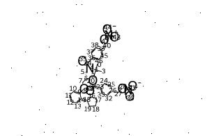 CC(C)(C)N(C[C@@H](COc1ccccc1C1CCCC1)OC(=O)c1ccc(CO[N+](=O)[O-])cc1)C(=O)c1ccc(CO[N+](=O)[O-])cc1